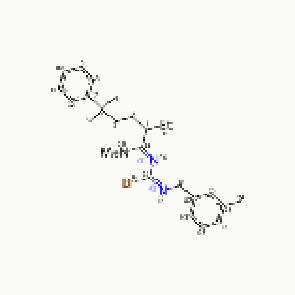 CCC(CCC(C)(C)c1ccccc1)/C(=N/C(Br)=N\Cc1cccc(C)c1)NC